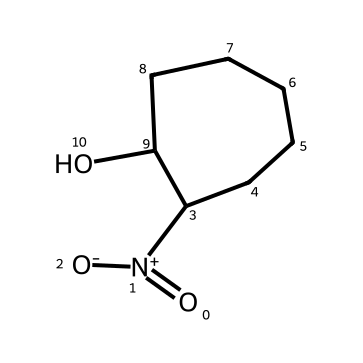 O=[N+]([O-])C1CCCCCC1O